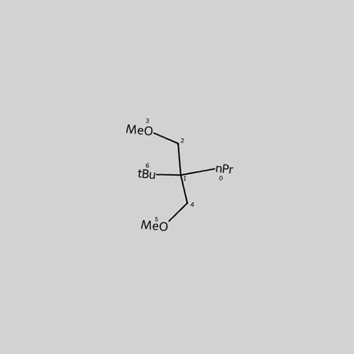 CCCC(COC)(COC)C(C)(C)C